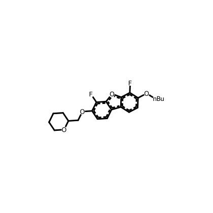 CCCCOc1ccc2c(oc3c(F)c(OCC4CCCCO4)ccc32)c1F